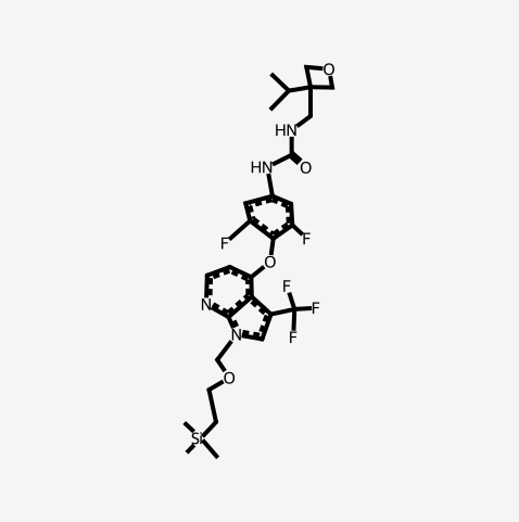 CC(C)C1(CNC(=O)Nc2cc(F)c(Oc3ccnc4c3c(C(F)(F)F)cn4COCC[Si](C)(C)C)c(F)c2)COC1